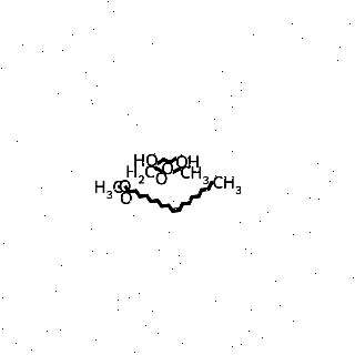 C=CC(=O)OCCC.CCCCCCCC/C=C\CCCCCCCC(=O)OC.OCCCCO